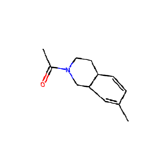 CC(=O)N1CCC2C=CC(C)=CC2C1